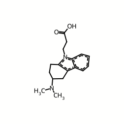 CN(C)C1CCc2c(c3ccccc3n2CCC(=O)O)C1